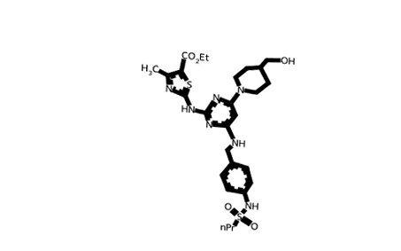 CCCS(=O)(=O)Nc1ccc(CNc2cc(N3CCC(CO)CC3)nc(Nc3nc(C)c(C(=O)OCC)s3)n2)cc1